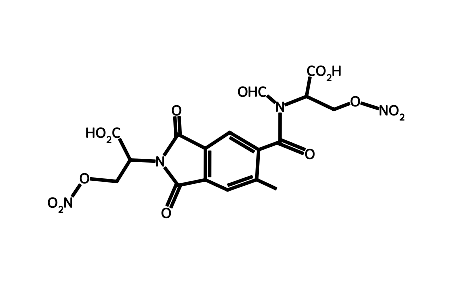 Cc1cc2c(cc1C(=O)N(C=O)C(CO[N+](=O)[O-])C(=O)O)C(=O)N(C(CO[N+](=O)[O-])C(=O)O)C2=O